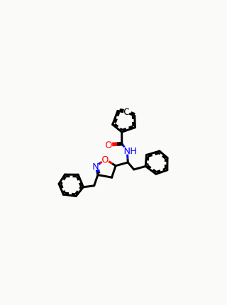 O=C(NC(Cc1ccccc1)C1CC(Cc2ccccc2)=NO1)c1ccccc1